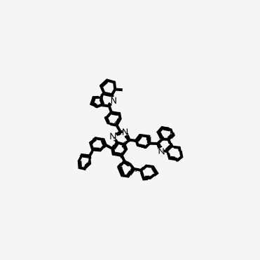 CC1CC=Cc2c1nc(-c1ccc(-c3nc(-c4ccc(-c5nc6c(c7ccccc57)CCC=C6)cc4)c4cc(-c5cccc(C6C=CC=CC6)c5)cc(-c5cccc(-c6ccccc6)c5)c4n3)cc1)c1c2C=C=C1